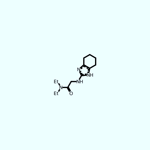 CCN(CC)C(=O)CNc1nc2c([nH]1)CCCC2